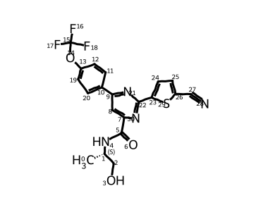 C[C@@H](CO)NC(=O)c1cc(-c2ccc(OC(F)(F)F)cc2)nc(-c2ccc(C#N)s2)n1